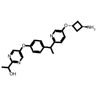 CC(O)c1ncc(Oc2ccc(C(C)c3ccc(O[C@H]4C[C@H](N)C4)cn3)cc2)cn1